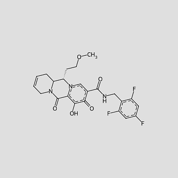 COCC[C@H]1C2CC=CCN2C(=O)c2c(O)c(=O)c(C(=O)NCc3c(F)cc(F)cc3F)cn21